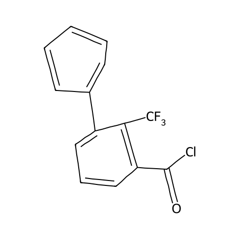 O=C(Cl)c1cccc(-c2ccccc2)c1C(F)(F)F